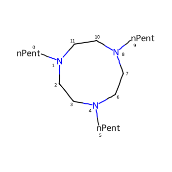 CCCCCN1CCN(CCCCC)CCN(CCCCC)CC1